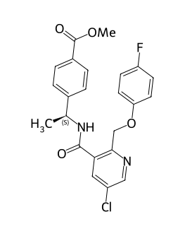 COC(=O)c1ccc([C@H](C)NC(=O)c2cc(Cl)cnc2COc2ccc(F)cc2)cc1